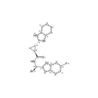 CC(C)[C@@H](NC(=O)[C@H]1C[C@@H]1c1nc2ccccc2[nH]1)c1cc2ccc(F)cc2s1